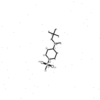 CN(CC(C)(C)C)C1CCN(S(C)(=O)=O)CC1